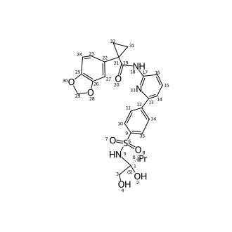 CC(C)[C@](O)(CO)NS(=O)(=O)c1ccc(-c2cccc(NC(=O)C3(c4ccc5c(c4)OCO5)CC3)n2)cc1